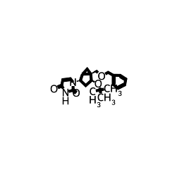 CC(C)(C)O[C@H]1C[C@H](n2ccc(=O)[nH]c2=O)C2C[C@@]21COCc1ccccc1